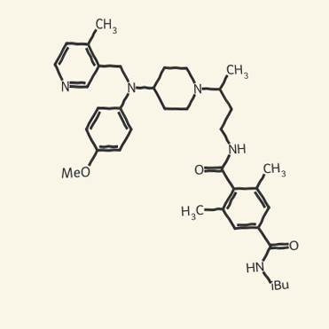 CCC(C)NC(=O)c1cc(C)c(C(=O)NCCC(C)N2CCC(N(Cc3cnccc3C)c3ccc(OC)cc3)CC2)c(C)c1